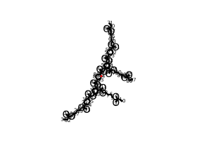 C=CC(=O)OCCCCOC(=O)c1cc(OC(=O)C2CCC(C(=O)OCCCCOC(=O)C=C)CC2)ccc1OC(=O)C1CCC(C(=O)Oc2ccc(OC(=O)C3CCC(C(=O)OCCCCOC(=O)C=C)CC3)cc2C(=O)OCCCCOC(=O)C=C)CC1